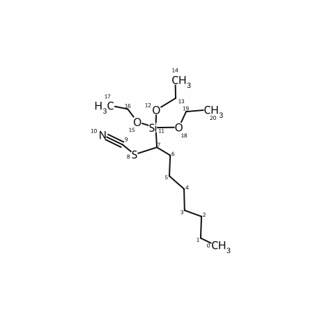 CCCCCCCC(SC#N)[Si](OCC)(OCC)OCC